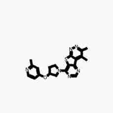 Cc1cc(OC2CCN(c3ncnc4c3sc3nnc(C)c(C)c34)C2)ccn1